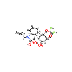 COCN1C(=O)C(O)(c2cc3c(cc2O)OC(F)(F)O3)c2ccccc21